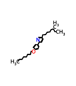 CCCCCCCCOc1ccc(-c2ccc(CCCCCC(C)CC)cn2)cc1